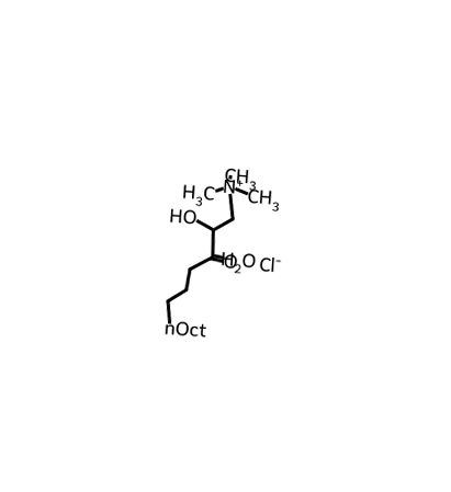 CCCCCCCCCCCC(=O)C(O)C[N+](C)(C)C.O.[Cl-]